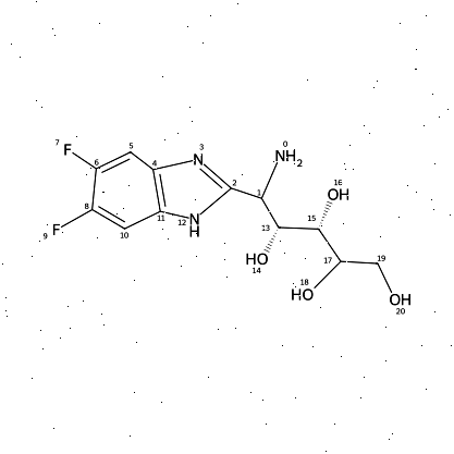 NC(c1nc2cc(F)c(F)cc2[nH]1)[C@@H](O)[C@H](O)C(O)CO